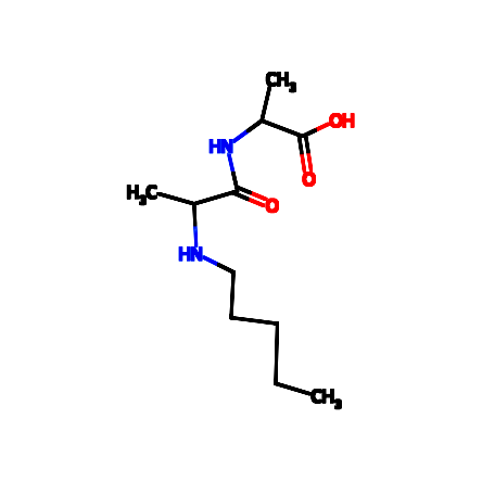 CCCCCNC(C)C(=O)NC(C)C(=O)O